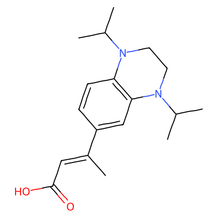 C/C(=C\C(=O)O)c1ccc2c(c1)N(C(C)C)CCN2C(C)C